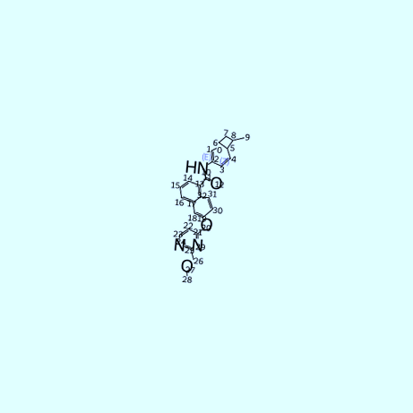 C/C=C(\C=C/C1CCC1C)NC(=O)c1cccc2cc(Oc3ccnc(COC)n3)ccc12